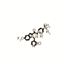 CN(C)C1=CNN(NC(=O)c2cc3cc(C(F)(F)F)ccc3n2Cc2ccncc2)C=C1.Cl